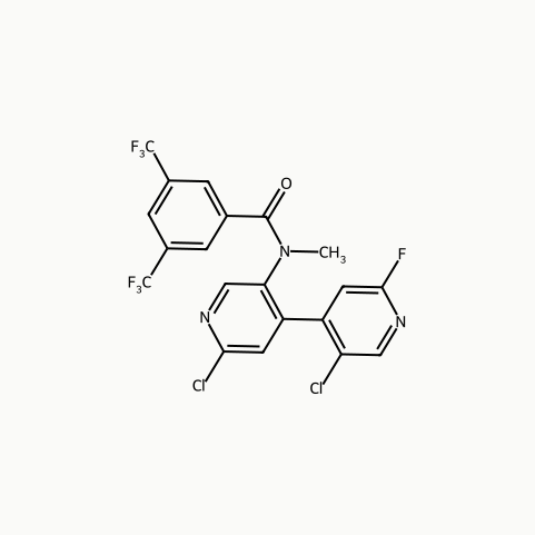 CN(C(=O)c1cc(C(F)(F)F)cc(C(F)(F)F)c1)c1cnc(Cl)cc1-c1cc(F)ncc1Cl